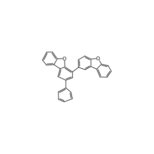 c1ccc(-c2cc(-c3ccc4oc5ccccc5c4c3)c3oc4ccccc4c3c2)cc1